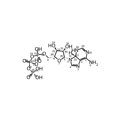 NC1=C2N=CN([C@@H]3O[C@H](COP(=O)(O)OP(=O)(O)OP(=O)(O)O)[C@@H](O)[C@H]3O)[C@@H]2NC=N1